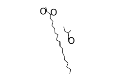 CCC(C)C1CO1.CCCCCCCCC=CCCCCCCCC(=O)C1CO1